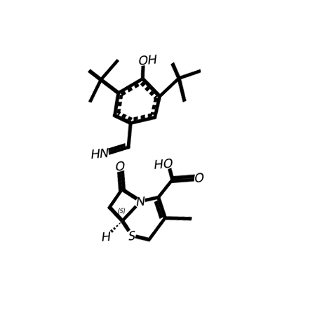 CC(C)(C)c1cc(C=N)cc(C(C)(C)C)c1O.CC1=C(C(=O)O)N2C(=O)C[C@@H]2SC1